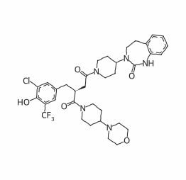 O=C(C[C@H](Cc1cc(Cl)c(O)c(C(F)(F)F)c1)C(=O)N1CCC(N2CCOCC2)CC1)N1CCC(N2CCc3ccccc3NC2=O)CC1